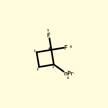 CC[CH]C1CCC1(F)F